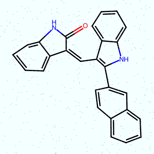 O=C1Nc2ccccc2C1=Cc1c(-c2ccc3ccccc3c2)[nH]c2ccccc12